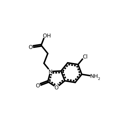 Nc1cc2oc(=O)n(CCC(=O)O)c2cc1Cl